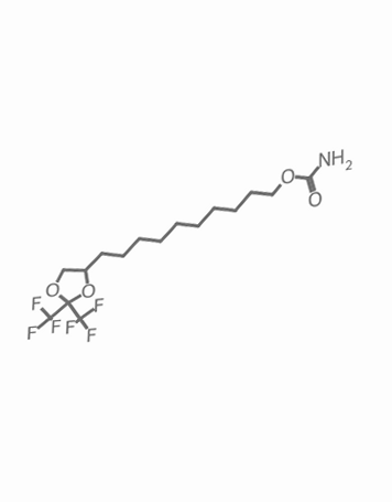 NC(=O)OCCCCCCCCCCC1COC(C(F)(F)F)(C(F)(F)F)O1